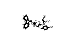 O=C(N[C@@H](Cc1ccc(O)cc1)C(=O)N[C@@H](CO)C(=O)O)OCC1c2ccccc2-c2ccccc21